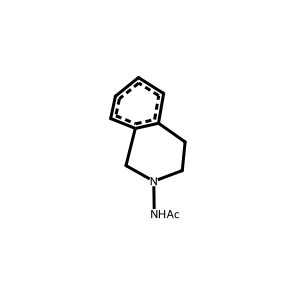 CC(=O)NN1CCc2ccccc2C1